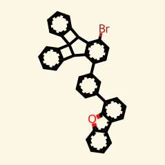 Brc1ccc(-c2cccc(-c3cccc4c3oc3ccccc34)c2)c2c1C1c3ccccc3C13c1ccccc1C23